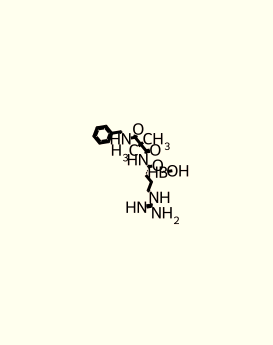 CC(C)(C(=O)NCc1ccccc1)C(=O)N[C@@H](CCCNC(=N)N)OBO